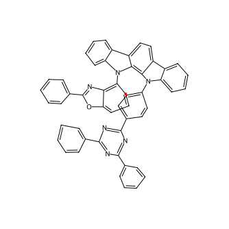 c1ccc(-c2nc(-c3ccccc3)nc(-c3ccc(-n4c5ccccc5c5ccc6c7ccccc7n(-c7cccc8oc(-c9ccccc9)nc78)c6c54)cc3)n2)cc1